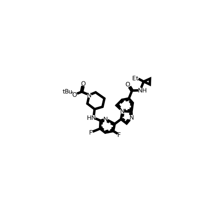 CCC1(NC(=O)c2ccn3c(-c4nc(NC5CCCN(C(=O)OC(C)(C)C)C5)c(F)cc4F)cnc3c2)CC1